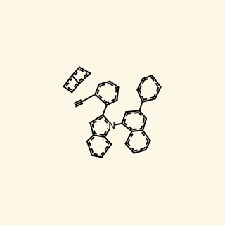 C#Cc1ccccc1-c1cc2ccccc2n1-c1cc(-c2ccccc2)cc2ccccc12.c1cc2ccc1-2